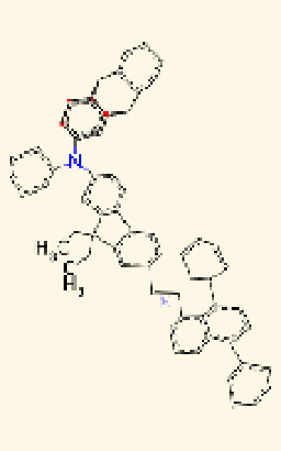 CCC1(CC)c2cc(/C=C/c3cccc4c(-c5ccccc5)ccc(C5C=CC=CC5)c34)ccc2-c2ccc(N(c3ccccc3)c3ccc4c(c3)C3c5ccccc5C4c4ccccc43)cc21